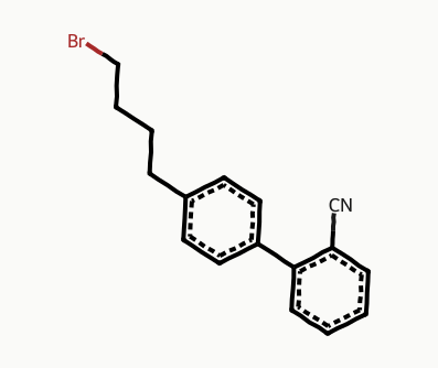 N#Cc1ccccc1-c1ccc(CCCCBr)cc1